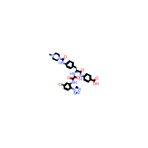 CN1CCN(C(=O)Nc2ccc(C[C@H](NC(=O)C(=O)Nc3cc(Cl)ccc3-n3cnnn3)C(=O)Nc3ccc(C(=O)O)cc3)cc2)CC1